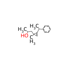 CC(O)C[C@@]1(C)C=C1C(C)c1ccccc1